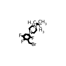 CC(C)(C)N1CCN(c2cc(F)c(F)c(CBr)c2F)CC1